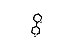 [C]1CCSC(C2CCSCC2)C1